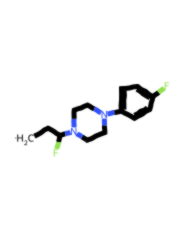 [CH2]CC(F)N1CCN(c2ccc(F)cc2)CC1